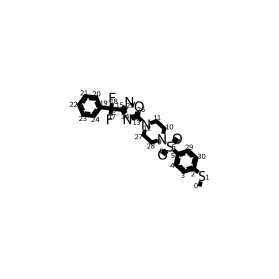 CSc1ccc(S(=O)(=O)N2CCN(c3nc(C(F)(F)c4ccccc4)no3)CC2)cc1